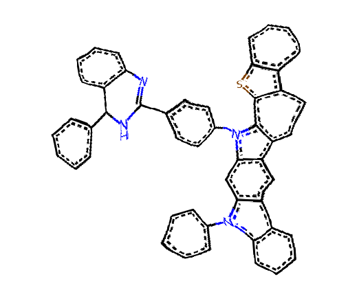 c1ccc(C2NC(c3ccc(-n4c5cc6c(cc5c5ccc7c8ccccc8sc7c54)c4ccccc4n6-c4ccccc4)cc3)=Nc3ccccc32)cc1